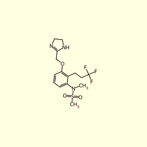 CN(c1cccc(OCC2=NCCN2)c1CCC(F)(F)F)S(C)(=O)=O